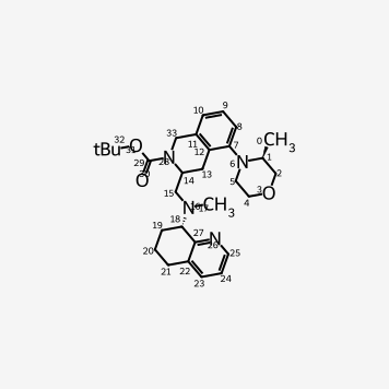 C[C@H]1COCCN1c1cccc2c1CC(CN(C)[C@H]1CCCc3cccnc31)N(C(=O)OC(C)(C)C)C2